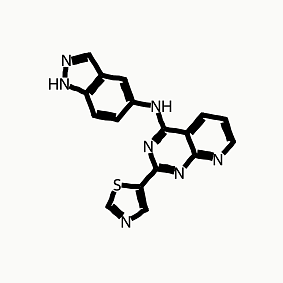 c1cnc2nc(-c3cncs3)nc(Nc3ccc4[nH]ncc4c3)c2c1